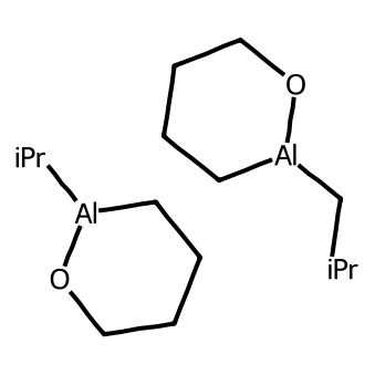 CC(C)[CH2][Al]1[CH2]CCC[O]1.C[CH](C)[Al]1[CH2]CCC[O]1